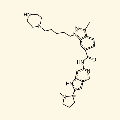 Cc1nn(CCCCCN2CCNCC2)c2cc(C(=O)Nc3cc4[nH]c([C@H]5CCCN5C)cc4cn3)ccc12